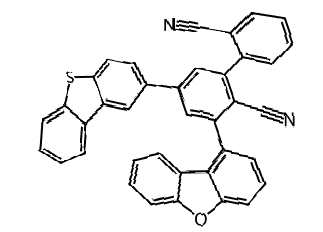 N#Cc1ccccc1-c1cc(-c2ccc3sc4ccccc4c3c2)cc(-c2cccc3oc4ccccc4c23)c1C#N